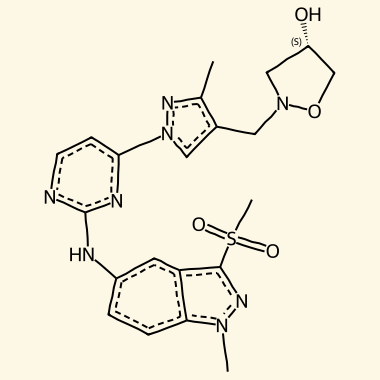 Cc1nn(-c2ccnc(Nc3ccc4c(c3)c(S(C)(=O)=O)nn4C)n2)cc1CN1C[C@H](O)CO1